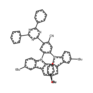 CC(C)(C)c1ccc2c(c1)c1cc(C(C)(C)C)ccc1n2-c1cc(C#N)c(-c2nc(-c3ccccc3)nc(-c3ccccc3)n2)cc1-n1c2ccc(C(C)(C)C)cc2c2cc(C(C)(C)C)ccc21